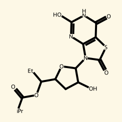 CCC(OC(=O)C(C)C)C1CC(O)C(n2c(=O)sc3c(=O)[nH]c(O)nc32)O1